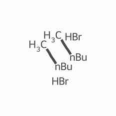 Br.Br.CCCCC.CCCCC